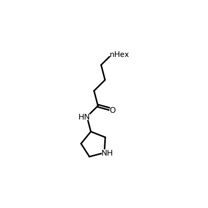 CCCCCCCCCC(=O)NC1CCNC1